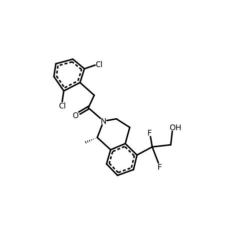 C[C@H]1c2cccc(C(F)(F)CO)c2CCN1C(=O)Cc1c(Cl)cccc1Cl